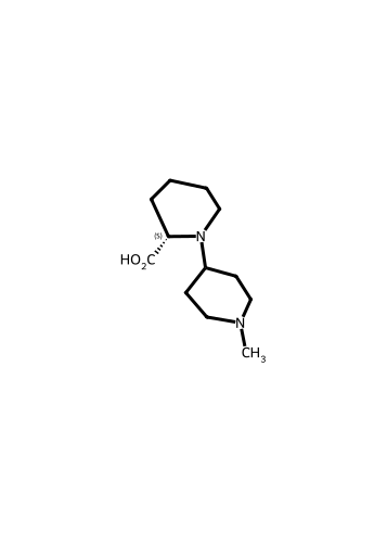 CN1CCC(N2CCCC[C@H]2C(=O)O)CC1